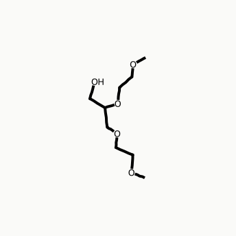 COCCOCC(CO)OCCOC